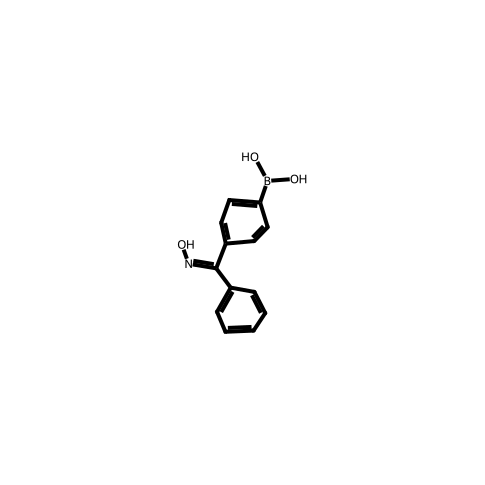 ON=C(c1ccccc1)c1ccc(B(O)O)cc1